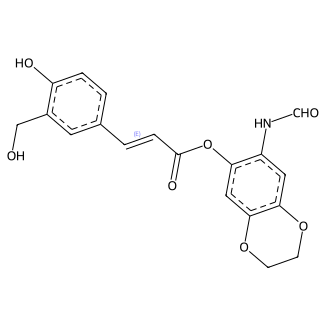 O=CNc1cc2c(cc1OC(=O)/C=C/c1ccc(O)c(CO)c1)OCCO2